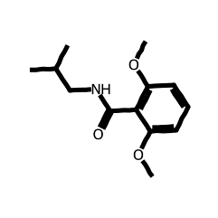 COc1cccc(OC)c1C(=O)NCC(C)C